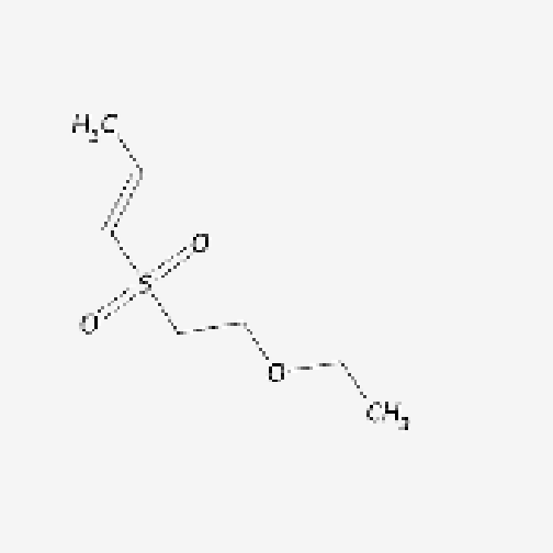 CC=CS(=O)(=O)CCOCC